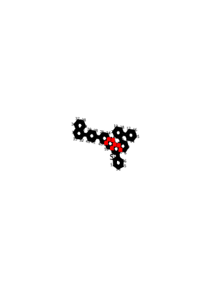 c1ccc(-c2ccccc2-c2c(-c3ccccc3)cccc2N(c2ccc(-c3ccc(-c4cccc5ccccc45)cc3)cc2)c2ccc3c(c2)sc2ccccc23)cc1